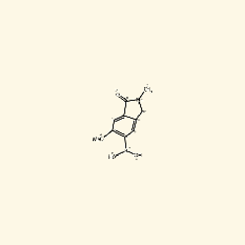 COc1cc2c(cc1B(O)O)CN(C)C2=O